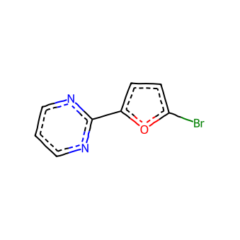 Brc1ccc(-c2ncccn2)o1